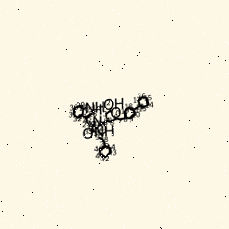 O=C(O)C[C@@H](CCCc1ccc(-c2ccccc2)cc1)C(=O)N[C@@H](Cc1c[nH]c2ccccc12)C(=O)NCCc1ccccc1